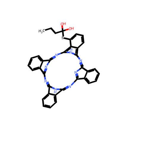 CCC[C](O)(O)[Ti][c]1cccc2c3nc4nc(nc5[nH]c(nc6nc(nc([nH]3)c12)-c1ccccc1-6)c1ccccc51)-c1ccccc1-4